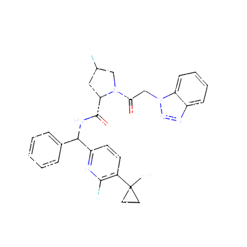 CC1(c2ccc(C(NC(=O)C3CC(F)CN3C(=O)Cn3nnc4ccccc43)c3ccccc3)nc2F)CC1